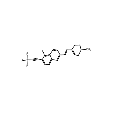 CC1CC=C(/C=C/c2ccc3c(F)c(C#CC(F)(F)F)ccc3c2)CC1